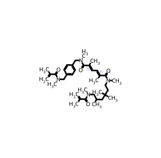 C=C(C)C(=O)N(C)Cc1ccc(CN(C)C(=O)/C(C)=C/C=C(\C)C(=O)N(C)CCC(C)(C)CC(C)CN(C)C(=O)C(=C)C)cc1